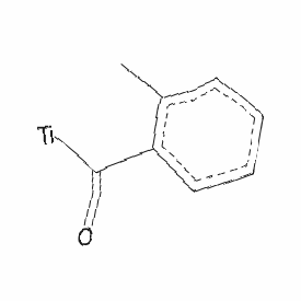 Cc1ccccc1[C](=O)[Ti]